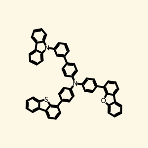 c1cc(-c2ccc(N(c3ccc(-c4cccc5c4oc4ccccc45)cc3)c3ccc(-c4cccc5c4sc4ccccc45)cc3)cc2)cc(-n2c3ccccc3c3ccccc32)c1